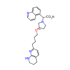 O=C(O)C(c1cccc2ncccc12)N1CC[C@@H](OCCCCc2ccc3c(n2)NCCC3)C1